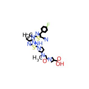 CCc1nc2n(c1N(C)c1nc(-c3ccc(F)cc3)c(C#N)s1)NC(N1CCC(N(C)CC(=O)N3CC(C(=O)O)C3)C1)S2